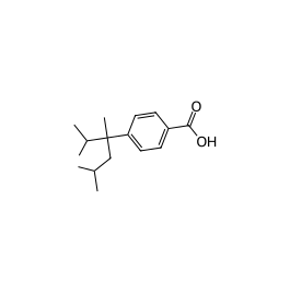 CC(C)CC(C)(c1ccc(C(=O)O)cc1)C(C)C